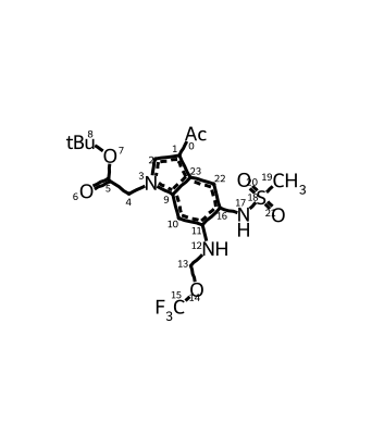 CC(=O)c1cn(CC(=O)OC(C)(C)C)c2cc(NCOC(F)(F)F)c(NS(C)(=O)=O)cc12